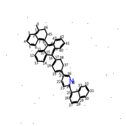 CC1=c2ccccc2=C(c2c3ccccc3c(C3=CC=C(c4ccc(-c5cccc6ccccc56)nc4)CC3)c3ccccc23)CC1